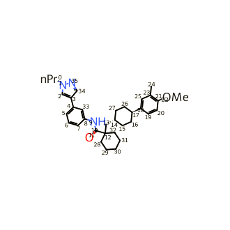 CCCn1cc(-c2cccc(NC(=O)C3(C[C@H]4CC[C@H](c5ccc(OC)c(C)c5)CC4)CCCCC3)c2)cn1